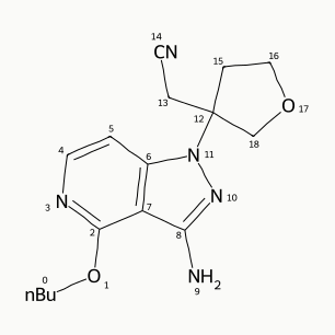 CCCCOc1nccc2c1c(N)nn2C1(CC#N)CCOC1